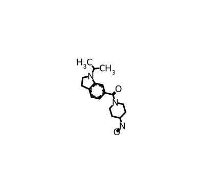 CC(C)N1CCc2ccc(C(=O)N3CCC(N=O)CC3)cc21